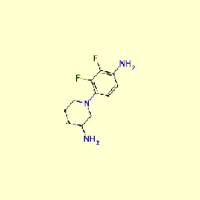 Nc1ccc(N2CC[CH]C(N)C2)c(F)c1F